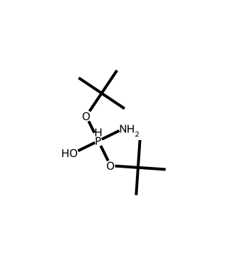 CC(C)(C)O[PH](N)(O)OC(C)(C)C